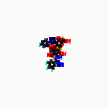 N=N/C(=C\NC1C(O)[C@H](S[C@@H]2O[C@H](CO)C(O)C(n3cc(-c4ccc(F)cn4)nn3)[C@H]2O)OC(CO)[C@@H]1O)c1cc(F)c(F)c(F)c1